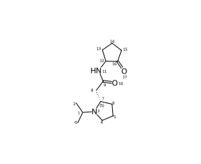 CC(C)N1CCC[C@H]1CC(=O)NC1CCCC1=O